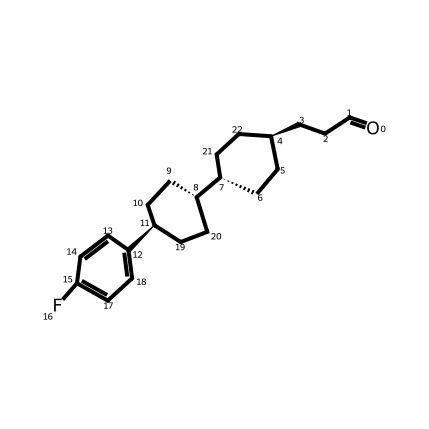 O=CCC[C@H]1CC[C@H]([C@H]2CC[C@H](c3ccc(F)cc3)CC2)CC1